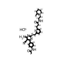 CC(=O)Nc1ccc(-c2nc(SCc3cccc(CCC(=O)NCCN4CCCCC4C)n3)nc(N)c2C#N)cc1.Cl